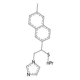 CCCSC(Cn1ccnc1)c1ccc2cc(C)ccc2c1